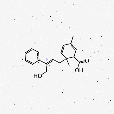 CC1=CC(C(=O)O)C(C)(C/C=C(\CO)c2ccccc2)C=C1